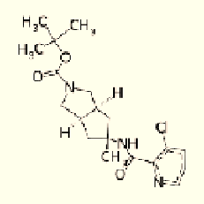 CC(C)(C)OC(=O)N1C[C@@H]2C[C@@](C)(NC(=O)c3ncccc3Cl)C[C@@H]2C1